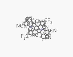 N#CC1=C(c2ccccc2)/C(=C(/C#N)c2cc(C#N)cc(C#N)c2)c2c1c(-c1ccc(C(F)(F)F)cc1)c1c(c2-c2ccc(C(F)(F)F)cc2)C(C#N)=C(c2ccccc2)/C1=C(/C#N)c1cc(C#N)cc(C#N)c1